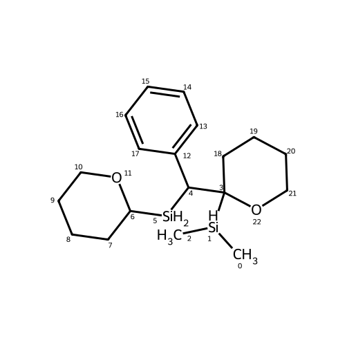 C[SiH](C)C1(C([SiH2]C2CCCCO2)c2ccccc2)CCCCO1